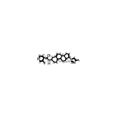 Cc1cn(C2=CCC3C4CC=C5C[C@@H](NC(=O)c6ccncc6F)CC[C@]5(C)C4CC[C@]23C)cn1